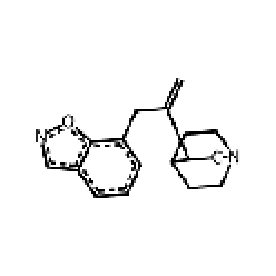 C=C(Cc1cccc2cnoc12)C1CN2CCC1CC2